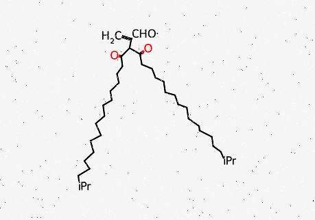 C=C([C]=O)C(C(=O)CCCCCCCCCCCCCCC(C)C)C(=O)CCCCCCCCCCCCCCC(C)C